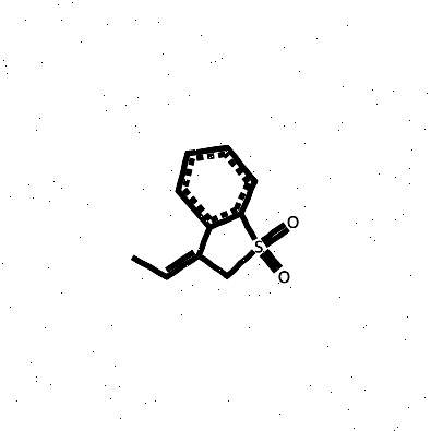 C/C=C1/CS(=O)(=O)c2ccccc21